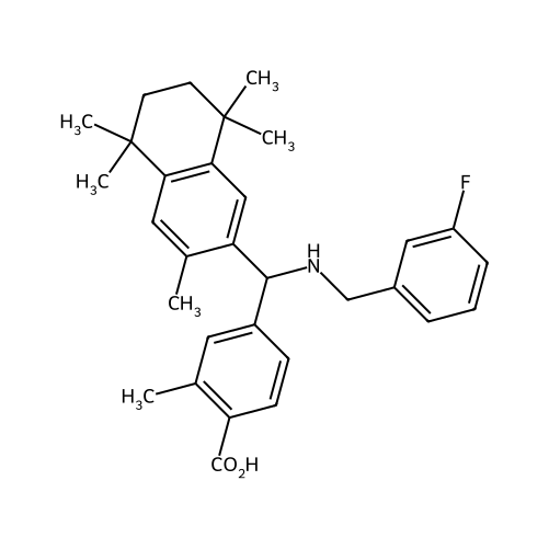 Cc1cc(C(NCc2cccc(F)c2)c2cc3c(cc2C)C(C)(C)CCC3(C)C)ccc1C(=O)O